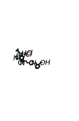 CN(C)Cc1c(OCC2CC2)ccc2c(CCC3CCN(Cc4ccccc4CO)CC3)noc12.Cl.Cl